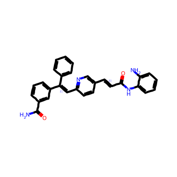 NC(=O)c1cccc(/C(=C/c2ccc(/C=C/C(=O)Nc3ccccc3N)cn2)c2ccccc2)c1